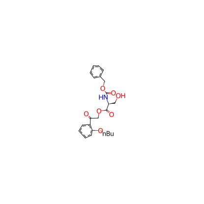 CCCCOc1ccccc1C(=O)COC(=O)[C@H](CO)NC(=O)OCc1ccccc1